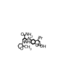 CC(C)C1=CB(O)Oc2ccc(Nc3nn(C4CCCO[C@@H]4C)cc3C(N)=O)cc21